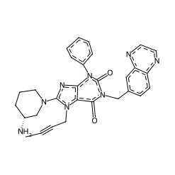 CC#CCn1c(N2CCC[C@@H](N)C2)nc2c1c(=O)n(Cc1ccc3nccnc3c1)c(=O)n2-c1ccccc1